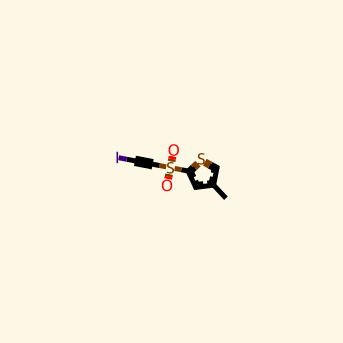 Cc1csc(S(=O)(=O)C#CI)c1